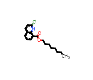 CCCCCCCCOC(=O)c1cccc2ccc(Cl)nc12